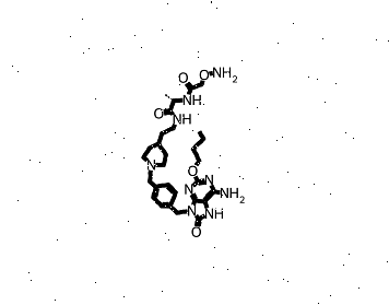 CCCCOc1nc(N)c2[nH]c(=O)n(Cc3ccc(CN4CCC(CCNC(=O)[C@H](C)NC(=O)CON)CC4)cc3)c2n1